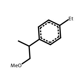 CCc1ccc(C(C)COC)cc1